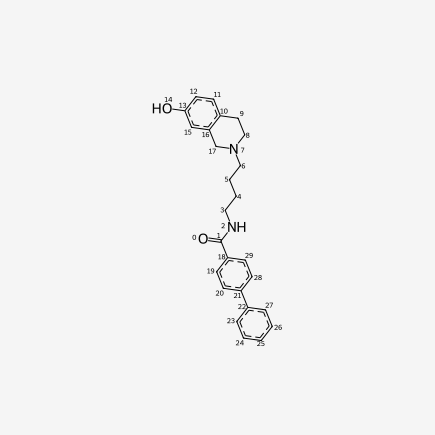 O=C(NCCCCN1CCc2ccc(O)cc2C1)c1ccc(-c2ccccc2)cc1